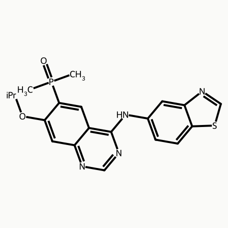 CC(C)Oc1cc2ncnc(Nc3ccc4scnc4c3)c2cc1P(C)(C)=O